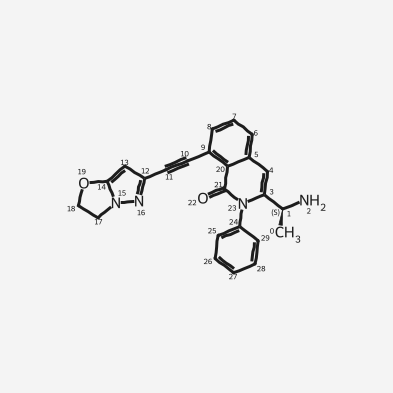 C[C@H](N)c1cc2cccc(C#Cc3cc4n(n3)CCO4)c2c(=O)n1-c1ccccc1